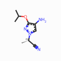 CC(C)Oc1nn([C@@H](C)C#N)cc1N